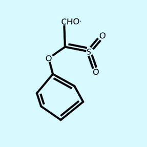 O=[C]C(Oc1ccccc1)=S(=O)=O